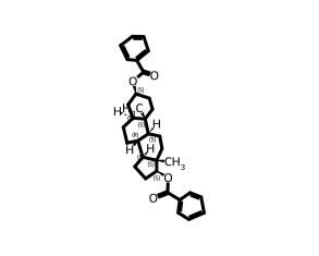 C[C@]12CC[C@H](OC(=O)c3ccccc3)C[C@@H]1CC[C@@H]1[C@@H]2CC[C@]2(C)[C@@H](OC(=O)c3ccccc3)CC[C@@H]12